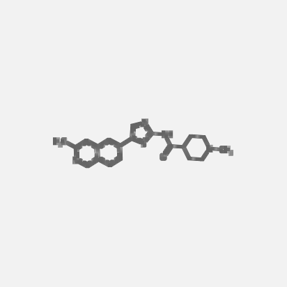 Cc1cc2cc(-c3cnc(NC(=O)C4CCN(C)CC4)s3)ccc2cn1